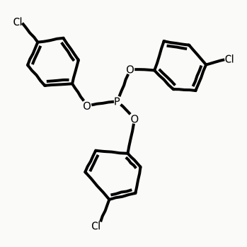 Clc1ccc(OP(Oc2ccc(Cl)cc2)Oc2ccc(Cl)cc2)cc1